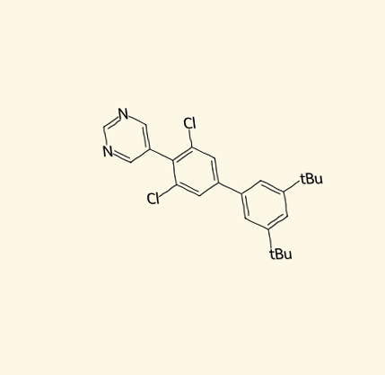 CC(C)(C)c1cc(-c2cc(Cl)c(-c3cncnc3)c(Cl)c2)cc(C(C)(C)C)c1